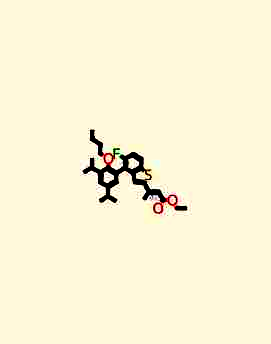 CCCCOc1c(-c2c(F)ccc3sc(/C(C)=C/C(=O)OCC)cc23)cc(C(C)C)cc1C(C)C